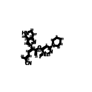 C=N/C(=C\C(=N/CC)N1CCCCC1)OC(=C)/C(=C\C=C(/C)C#N)n1cc2c(n1)CCNC2